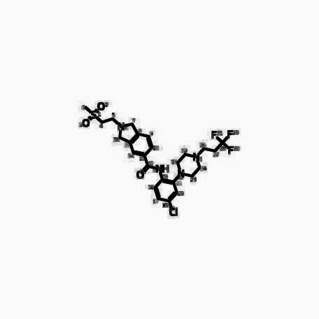 CS(=O)(=O)CCN1Cc2ccc(C(=O)Nc3ccc(Cl)cc3N3CCN(CCC(F)(F)F)CC3)cc2C1